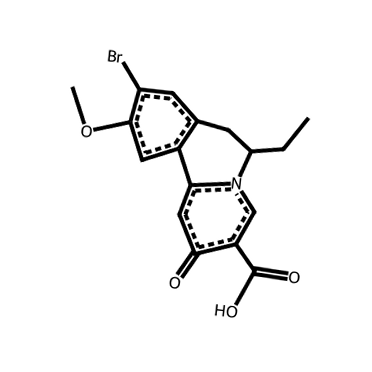 CCC1Cc2cc(Br)c(OC)cc2-c2cc(=O)c(C(=O)O)cn21